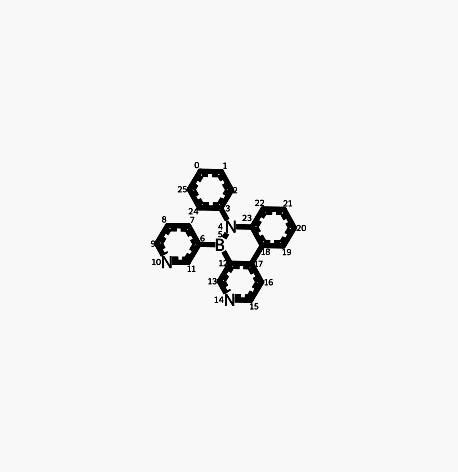 c1ccc(N2B(c3cccnc3)c3cnccc3-c3ccccc32)cc1